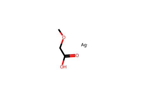 COCC(=O)O.[Ag]